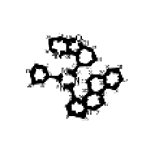 c1ccc(-c2nc(-c3cccc4ccc5c6ccccc6ccc5c34)nc(-c3cccc4oc5cccnc5c34)n2)cc1